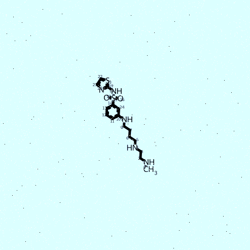 CNCCNCCCCNc1cccc(S(=O)(=O)Nc2nccs2)c1